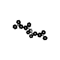 c1ccc(-n2c3ccccc3c3cc(-c4ccc5c(c4)c4ccccc4n5-c4nnc(-n5c6ccccc6c6cc(-c7ccc8c(c7)c7ccccc7n8-c7ccccc7)ccc65)c5ccccc45)ccc32)cc1